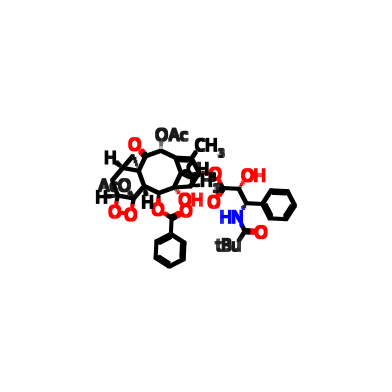 CC(=O)O[C@H]1C(=O)[C@]23C[C@H]2C[C@H]2OO[C@@]2(OC(C)=O)[C@H]3[C@H](OC(=O)c2ccccc2)[C@]2(O)C[C@H](OC(=O)[C@H](O)[C@@H](NC(=O)C(C)(C)C)c3ccccc3)C(C)=C1C2(C)C